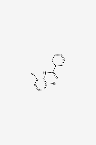 O=C(Nc1c(Br)cccc1Br)C1=CC=CCC1